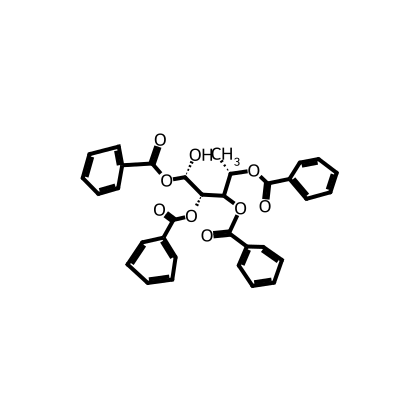 C[C@H](OC(=O)c1ccccc1)C(OC(=O)c1ccccc1)[C@H](OC(=O)c1ccccc1)[C@@H](O)OC(=O)c1ccccc1